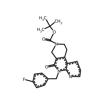 CC(C)(C)OC(=O)N1CCc2c(c(=O)n(Cc3ccc(F)cc3)c3ncccc23)C1